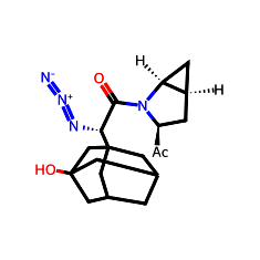 CC(=O)[C@@H]1C[C@@H]2C[C@@H]2N1C(=O)[C@@H](N=[N+]=[N-])C12CC3CC(CC(O)(C3)C1)C2